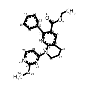 CCOC(=O)c1cc2c(nc1-c1ccccc1)N(c1ccnc(SC)n1)CCC2